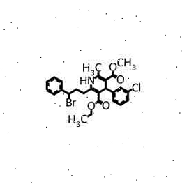 CCOC(=O)C1=C(CCC(Br)c2ccccc2)NC(C)=C(C(=O)OC)C1c1cccc(Cl)c1